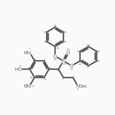 CCCCCCCCCCCCC(c1cc(C(C)(C)C)c(O)c(C(C)(C)C)c1)P(=O)(Oc1ccccc1)Oc1ccccc1